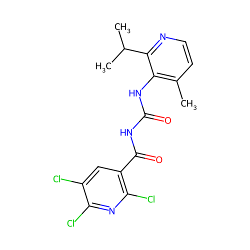 Cc1ccnc(C(C)C)c1NC(=O)NC(=O)c1cc(Cl)c(Cl)nc1Cl